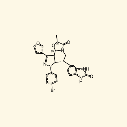 CC1C([C@H]2O[C@@H](C)C(=O)N2CCc2ccc3[nH]c(=O)[nH]c3c2)C(c2ccoc2)=NN1c1ccc(Br)cc1